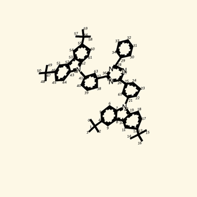 CC(C)(C)c1ccc2c(c1)c1cc(C(C)(C)C)ccc1n2-c1cccc(-c2nc(-c3ccccc3)nc(-c3cccc(-n4c5ccc(C(C)(C)C)cc5c5cc(C(C)(C)C)ccc54)c3)n2)c1